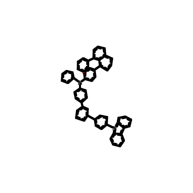 c1ccc(-c2cccc3cccc(-c4ccc(N(c5ccccc5)c5ccc(-c6cccc(-c7ccc(-n8c9ccccc9c9ccccc98)cc7)c6)cc5)cc4)c23)cc1